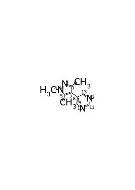 Cc1nn(C)c(C)c1-c1cncnc1